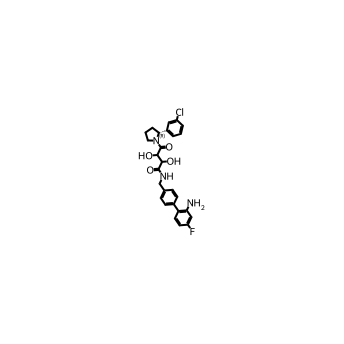 Nc1cc(F)ccc1-c1ccc(CNC(=O)C(O)C(O)C(=O)N2CCC[C@@H]2c2cccc(Cl)c2)cc1